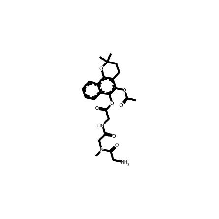 CC(=O)Oc1c2c(c3ccccc3c1OC(=O)CNC(=O)CN(C)C(=O)CN)OC(C)(C)CC2